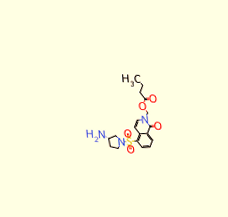 CCCC(=O)OCn1ccc2c(S(=O)(=O)N3CC[C@H](N)C3)cccc2c1=O